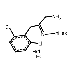 CCCCCCN=C(CN)Cc1c(Cl)cccc1Cl.Cl.Cl